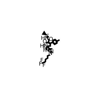 Cc1ccc(C2=C(C(=O)NSC3CC3)C(=O)NC(c3cnn(CCCCCC(F)(F)F)c3)(C(F)(F)F)C2)cc1